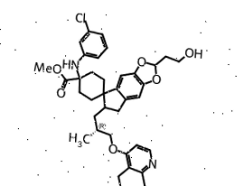 COC(=O)C1(Nc2cccc(Cl)c2)CCC2(CC1)c1cc3c(cc1CC2C[C@@H](C)COc1ccnc2c1CCCC2)OC(CCO)O3